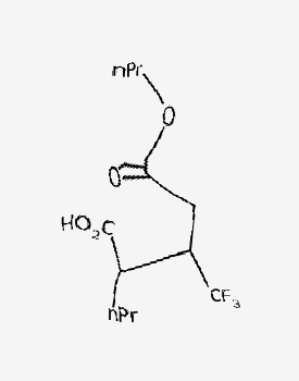 CCCOC(=O)CC(C(CCC)C(=O)O)C(F)(F)F